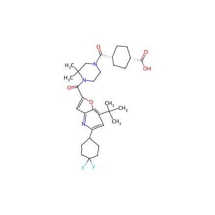 CC(C)(C)c1cc(C2CCC(F)(F)CC2)nc2cc(C(=O)N3CCN(C(=O)[C@H]4CC[C@@H](C(=O)O)CC4)CC3(C)C)oc12